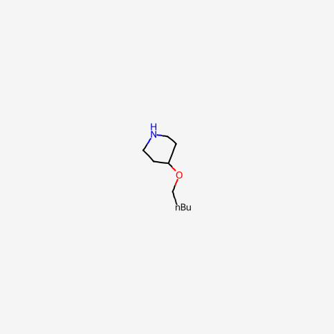 CCCCCOC1CCNCC1